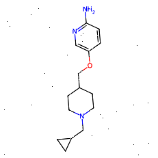 Nc1ccc(OCC2CCN(CC3CC3)CC2)cn1